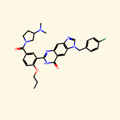 CCCOc1ccc(C(=O)N2CCC(N(C)C)C2)cc1-c1nc2cc3ncn(Cc4ccc(F)cc4)c3cc2c(=O)[nH]1